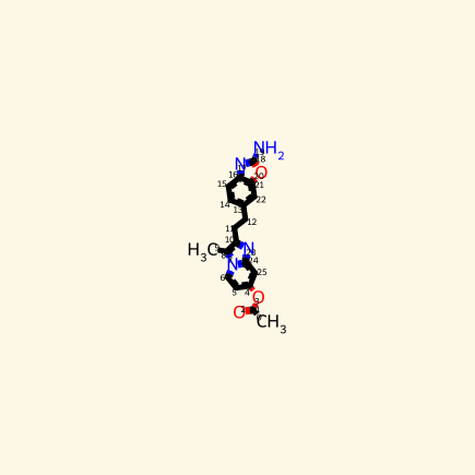 CC(=O)Oc1ccn2c(C)c(CCc3ccc4nc(N)oc4c3)nc2c1